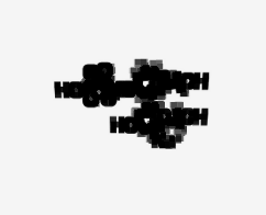 CC(C)(O)CON1C(C)(C)CC(O)CC1(C)C.CC(C)(O)CON1C(C)(C)CC(O)CC1(C)C.O=C(O)CC(O)(CC(=O)O)C(=O)[O-].[Na+]